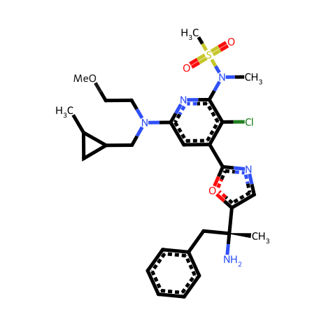 COCCN(CC1CC1C)c1cc(-c2ncc([C@](C)(N)Cc3ccccc3)o2)c(Cl)c(N(C)S(C)(=O)=O)n1